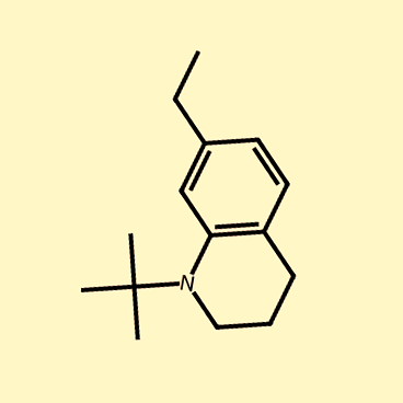 CCc1ccc2c(c1)N(C(C)(C)C)CCC2